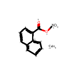 O=C(O[N+](=O)[O-])c1cccc2ccccc12.[CaH2]